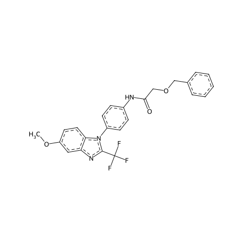 COc1ccc2c(c1)nc(C(F)(F)F)n2-c1ccc(NC(=O)COCc2ccccc2)cc1